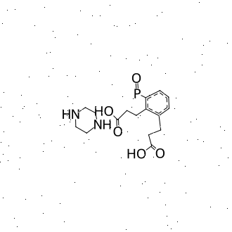 C1CNCCN1.O=Pc1cccc(CCC(=O)O)c1CCC(=O)O